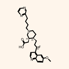 COc1ccc2nccc([C@H](F)CC[C@@H]3CCN(CCCCc4cnccn4)C[C@@H]3CC(=O)O)c2c1